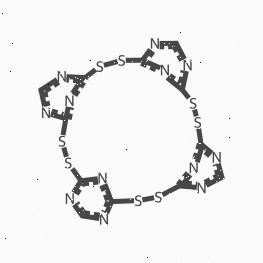 c1nc2nc(n1)SSc1ncnc(n1)SSc1ncnc(n1)SSc1ncnc(n1)SS2